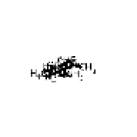 CC#Cc1cc(-c2cc(C3C[S+]([O-])C(CC)C(=N)N3)ccc2C)c(C(C)CC)cc1F